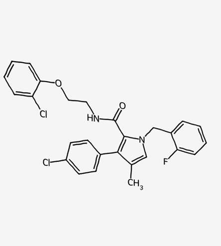 Cc1cn(Cc2ccccc2F)c(C(=O)NCCOc2ccccc2Cl)c1-c1ccc(Cl)cc1